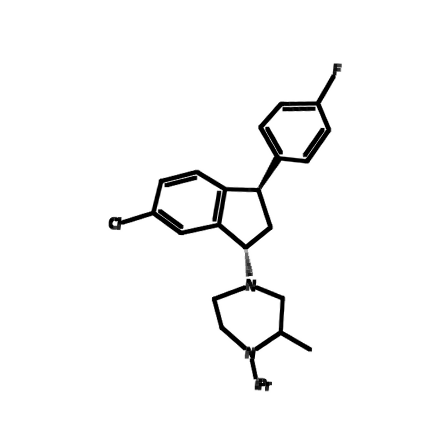 CC(C)N1CCN([C@H]2C[C@H](c3ccc(F)cc3)c3ccc(Cl)cc32)CC1C